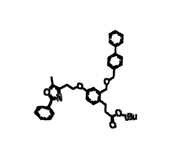 Cc1oc(-c2ccccc2)nc1CCOc1ccc(CCC(=O)OC(C)(C)C)c(COCc2ccc(-c3ccccc3)cc2)c1